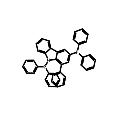 c1ccc(-c2cc(P(c3ccccc3)c3ccccc3)cc3c4ccccc4n(P(c4ccccc4)c4ccccc4)c23)cc1